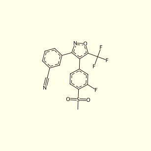 CS(=O)(=O)c1ccc(-c2c(-c3cccc(C#N)c3)noc2C(F)(F)F)cc1F